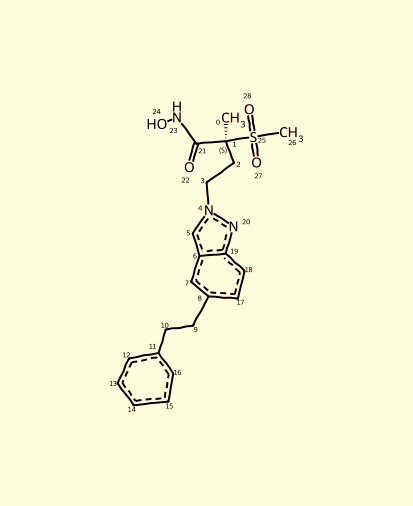 C[C@](CCn1cc2cc(CCc3ccccc3)ccc2n1)(C(=O)NO)S(C)(=O)=O